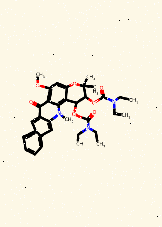 CCN(CC)C(=O)OC1c2c(cc(OC)c3c(=O)c4cc5ccccc5cc4n(C)c23)OC(C)(C)C1OC(=O)N(CC)CC